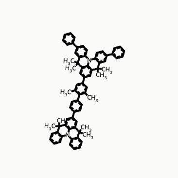 Cc1cc(-c2cc3c4c(c2)C(C)(C)c2cc(-c5ccccc5)ccc2N4c2ccc(-c4ccccc4)cc2C3(C)C)cc(C)c1-c1ccc(-c2cc3c4c(c2)C(C)(C)c2ccccc2N4c2ccccc2C3(C)C)cc1